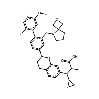 COc1cc(-c2ccc([C@@H]3CCc4ccc([C@H](C5CC5)[C@H](C)C(=O)O)cc4O3)cc2CN2CCCC23COC3)c(F)cn1